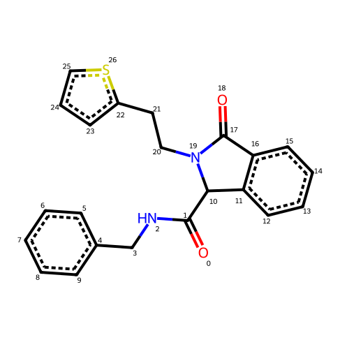 O=C(NCc1ccccc1)C1c2ccccc2C(=O)N1CCc1cccs1